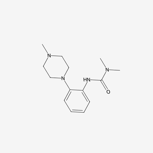 CN1CCN(c2ccccc2NC(=O)N(C)C)CC1